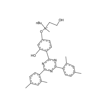 CCCC[N+](C)(CCO)Oc1ccc(-c2nc(-c3ccc(C)cc3C)nc(-c3ccc(C)cc3C)n2)c(O)c1